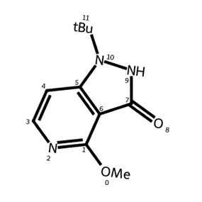 COc1nccc2c1c(=O)[nH]n2C(C)(C)C